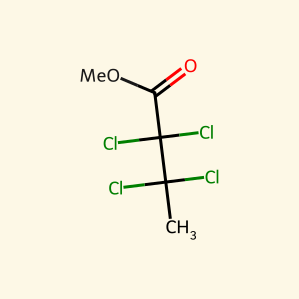 COC(=O)C(Cl)(Cl)C(C)(Cl)Cl